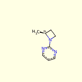 C[C@H]1CCN1c1ncccn1